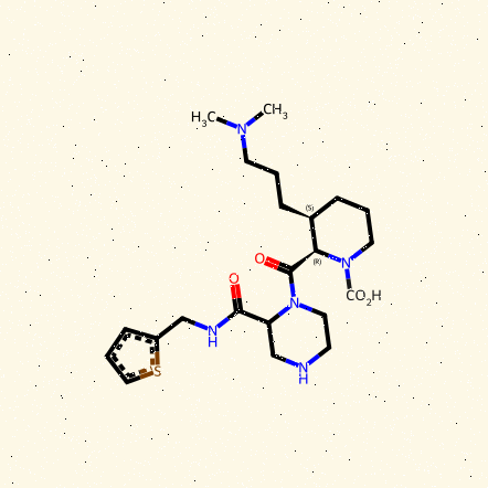 CN(C)CCC[C@H]1CCCN(C(=O)O)[C@H]1C(=O)N1CCNCC1C(=O)NCc1cccs1